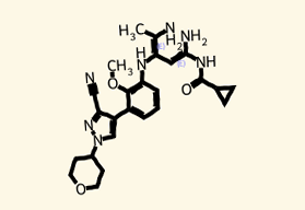 COc1c(NC(/C=C(\N)NC(=O)C2CC2)=C(\C)N)cccc1-c1cn(C2CCOCC2)nc1C#N